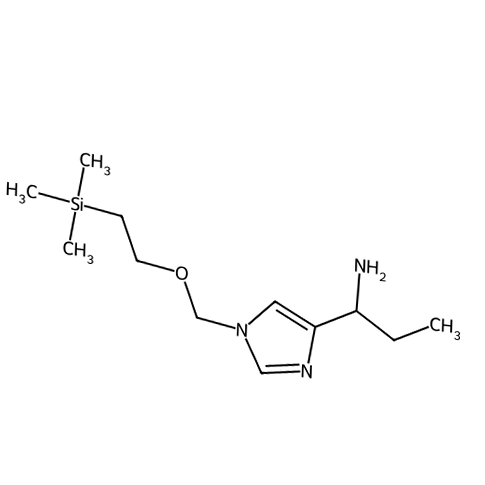 CCC(N)c1cn(COCC[Si](C)(C)C)cn1